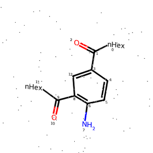 CCCCCCC(=O)c1ccc(N)c(C(=O)CCCCCC)c1